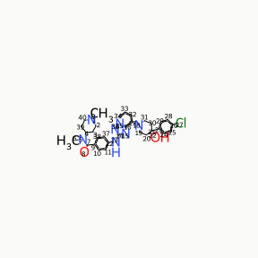 CN1CCC(N(C)C(=O)c2ccc(Nc3nc4c(N5CCC(O)(c6ccc(Cl)cc6)CC5)cccn4n3)cc2)CC1